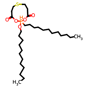 CCCCCCCCCCCCO[PH]1(CCCCCCCCCCCC)OC(=O)CCSCCC(=O)O1